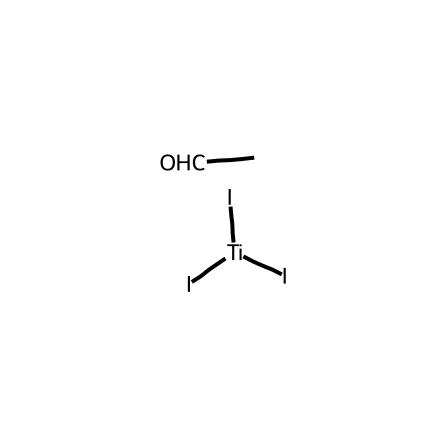 CC=O.[I][Ti]([I])[I]